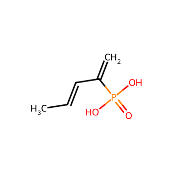 C=C(C=CC)P(=O)(O)O